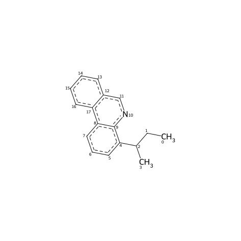 CCC(C)c1cccc2c1ncc1ccccc12